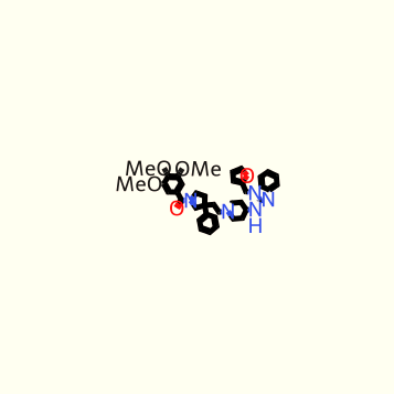 COc1cc(C(=O)N2CCC(CCN3CCC(Nc4nc5ccccc5n4Cc4ccco4)CC3)(c3ccccc3)C2)cc(OC)c1OC